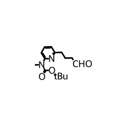 CN(C(=O)OC(C)(C)C)c1cccc(CCCC=O)n1